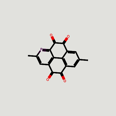 Cc1cc2c3c(c1)c(=O)c(=O)c1pc(C)cc(c1-3)c(=O)c2=O